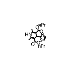 CCCOC(=O)C1=C(C)NC(C)=C(C(=O)OCCC)C1c1nccs1